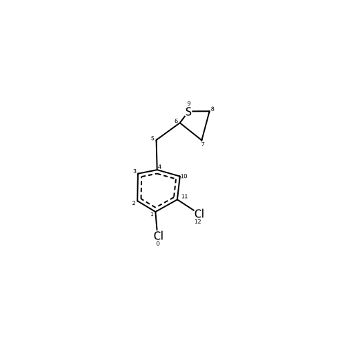 Clc1ccc(CC2CCS2)cc1Cl